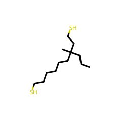 CCCC(C)(CCS)CCCCCCS